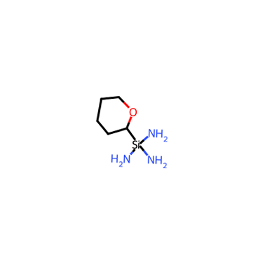 N[Si](N)(N)C1CCCCO1